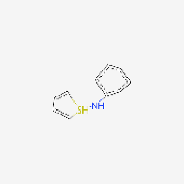 C1=C[SH](Nc2ccccc2)C=C1